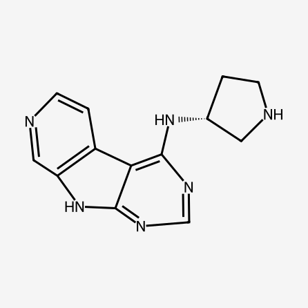 c1cc2c(cn1)[nH]c1ncnc(N[C@@H]3CCNC3)c12